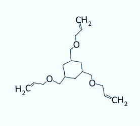 C=CCOCC1CC(COCC=C)CC(COCC=C)C1